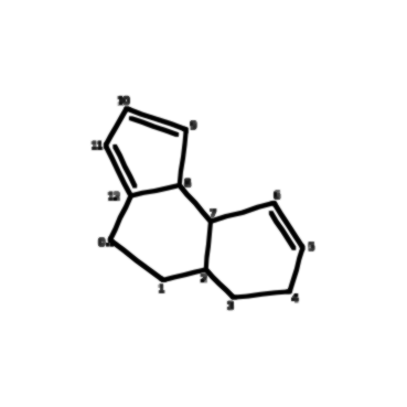 [C]1CC2CCC=CC2C2C=CC=C12